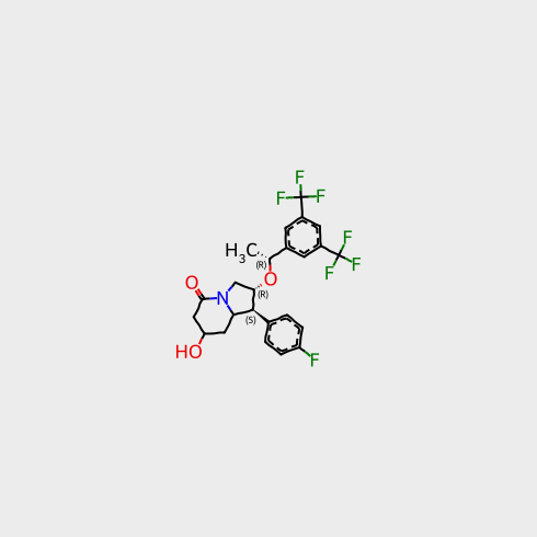 C[C@@H](O[C@H]1CN2C(=O)CC(O)CC2[C@@H]1c1ccc(F)cc1)c1cc(C(F)(F)F)cc(C(F)(F)F)c1